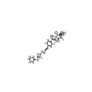 CNC(=O)[C@@](C)(C(=O)NO)N(C)C(=O)c1ccc(C#C/C=C/C2CN(Cc3ccccc3)C2)cc1